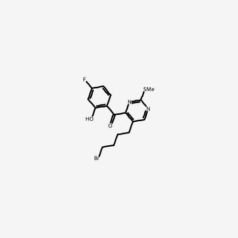 CSc1ncc(CCCCBr)c(C(=O)c2ccc(F)cc2O)n1